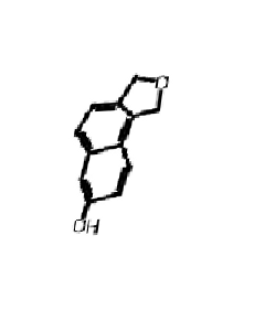 Oc1ccc2c3c(ccc2c1)COC3